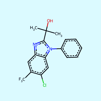 CC(C)(O)c1nc2cc(C(F)(F)F)c(Cl)cc2n1-c1c[c]ccc1